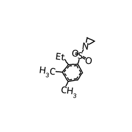 CCc1c(S(=O)(=O)N2CC2)ccc(C)c1C